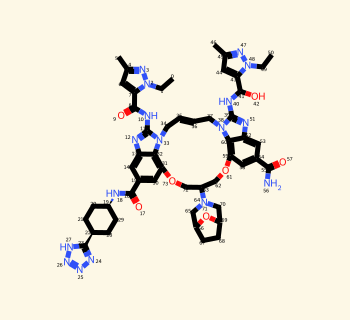 CCn1nc(C)cc1C(=O)Nc1nc2cc(C(=O)N[C@H]3CC[C@H](c4nnn[nH]4)CC3)cc3c2n1C/C=C/Cn1c(NC(O)c2cc(C)nn2CC)nc2cc(C(N)=O)cc(c21)OCC(N1CC2CCC(C1)O2)CO3